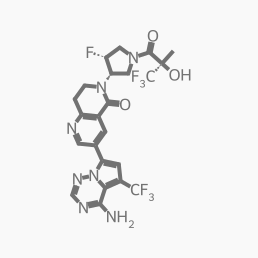 C[C@@](O)(C(=O)N1C[C@@H](F)[C@@H](N2CCc3ncc(-c4cc(C(F)(F)F)c5c(N)ncnn45)cc3C2=O)C1)C(F)(F)F